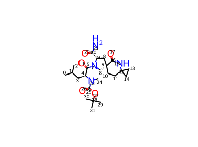 CC(C)C[C@@H](C(=O)N1C[C@]2(CCC3(CC3)NC2=O)C[C@H]1C(N)=O)N(C)C(=O)OC(C)(C)C